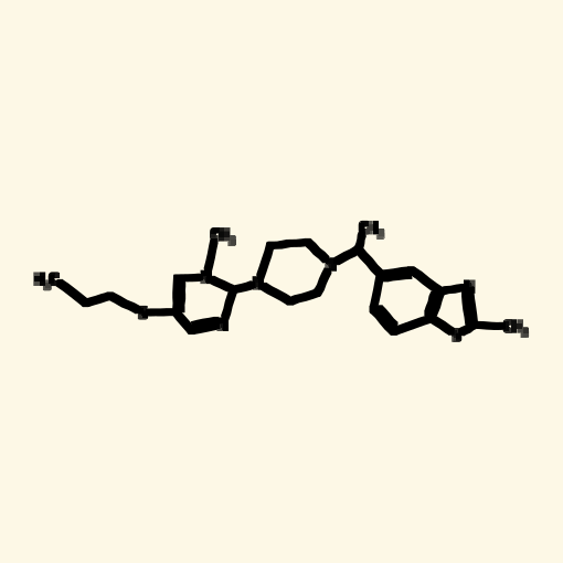 CCCSC1=CN(C)C(N2CCN(C(C)c3ccc4sc(C)nc4c3)CC2)N=C1